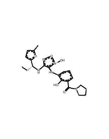 CC[C@@H](Nc1no[n+](O)c1Nc1cccc(C(=O)N2CCCC2)c1O)c1ccc(C)o1